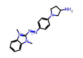 Cn1c(/N=N/c2ccc(N3CCC(N)C3)cc2)[n+](C)c2ccccc21